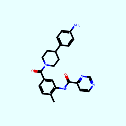 Cc1ccc(C(=O)N2CCC(c3ccc(N)cc3)CC2)cc1NC(=O)c1ccncn1